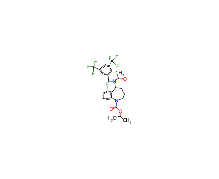 CC(=O)N(Cc1cc(C(F)(F)F)cc(C(F)(F)F)c1)C1CCCN(C(=O)OC(C)C)c2cccc(F)c21